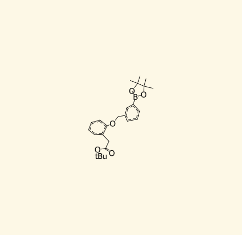 CC(C)(C)OC(=O)Cc1ccccc1OCc1cccc(B2OC(C)(C)C(C)(C)O2)c1